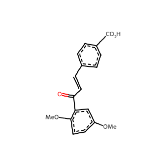 COc1ccc(OC)c(C(=O)/C=C/c2ccc(C(=O)O)cc2)c1